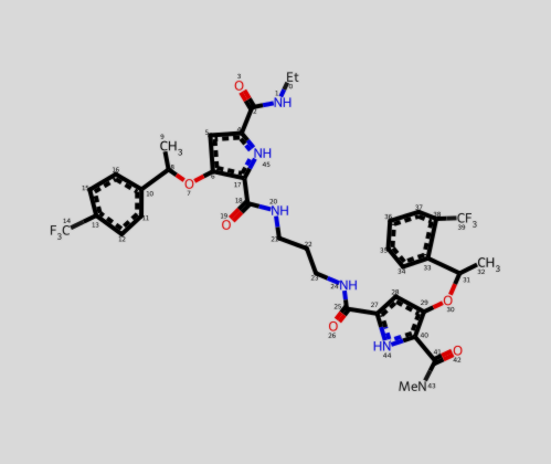 CCNC(=O)c1cc(OC(C)c2ccc(C(F)(F)F)cc2)c(C(=O)NCCCNC(=O)c2cc(OC(C)c3ccccc3C(F)(F)F)c(C(=O)NC)[nH]2)[nH]1